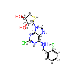 O[C@@H]1[C@H](n2cnc3c(NCc4ccccc4Cl)nc(Cl)nc32)SC[C@@H]1O